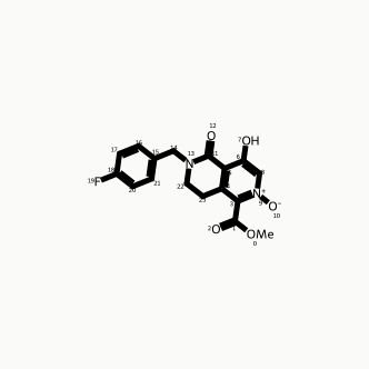 COC(=O)c1c2c(c(O)c[n+]1[O-])C(=O)N(Cc1ccc(F)cc1)CC2